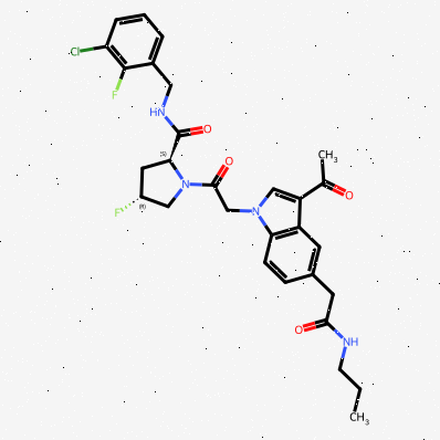 CCCNC(=O)Cc1ccc2c(c1)c(C(C)=O)cn2CC(=O)N1C[C@H](F)C[C@H]1C(=O)NCc1cccc(Cl)c1F